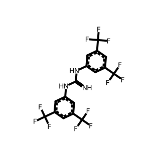 N=C(Nc1cc(C(F)(F)F)cc(C(F)(F)F)c1)Nc1cc(C(F)(F)F)cc(C(F)(F)F)c1